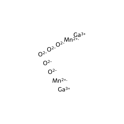 [Ga+3].[Ga+3].[Mn+2].[Mn+2].[O-2].[O-2].[O-2].[O-2].[O-2]